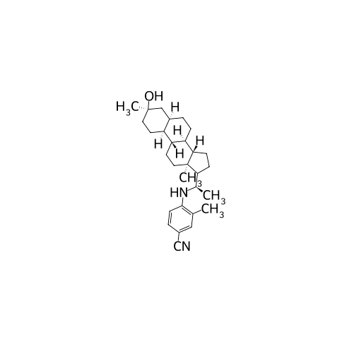 Cc1cc(C#N)ccc1N[C@H](C)C1CC[C@H]2[C@@H]3CC[C@@H]4C[C@](C)(O)CC[C@@H]4[C@H]3CC[C@]12C